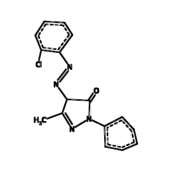 CC1=NN(c2ccccc2)C(=O)C1N=Nc1ccccc1Cl